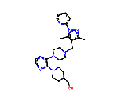 Cc1nn(-c2ccccn2)c(C)c1CN1CCN(c2nccnc2N2CCC(CO)CC2)CC1